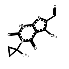 Cc1c(C=O)sc2[nH]c(=O)n(C3(C)CC3)c(=O)c12